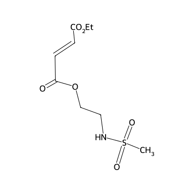 CCOC(=O)C=CC(=O)OCCNS(C)(=O)=O